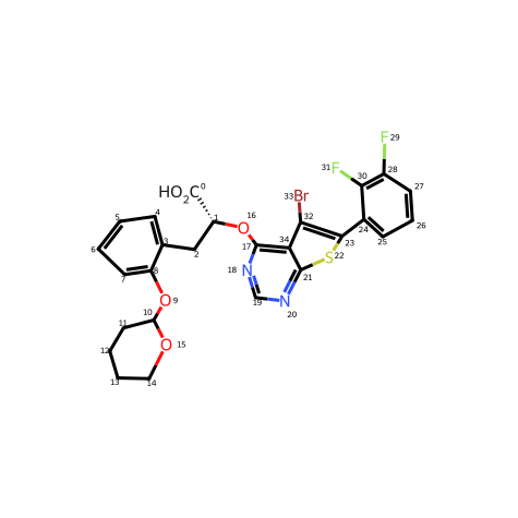 O=C(O)[C@@H](Cc1ccccc1OC1CCCCO1)Oc1ncnc2sc(-c3cccc(F)c3F)c(Br)c12